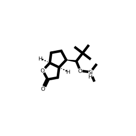 C[SiH](C)OC([C@@H]1CC[C@@H]2OC(=O)C[C@@H]21)C(C)(C)C